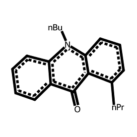 CCCCn1c2ccccc2c(=O)c2c(CCC)cccc21